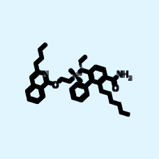 CCCCCCc1c(C(N)=O)ccc([C@@H](CC)[N+](C)(C)CCOc2nc(CCCC)cc3ccccc23)c1-c1ccccc1